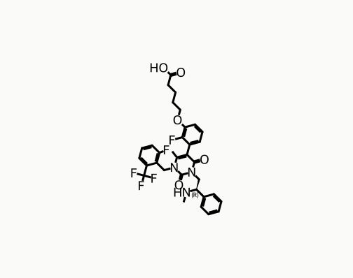 CN[C@@H](Cn1c(=O)c(-c2cccc(OCCCCC(=O)O)c2F)c(C)n(Cc2c(F)cccc2C(F)(F)F)c1=O)c1ccccc1